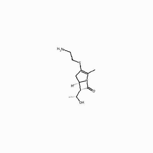 CC1=C(SCCN)C[C@@H]2[C@@H]([C@@H](C)O)C(=O)N12